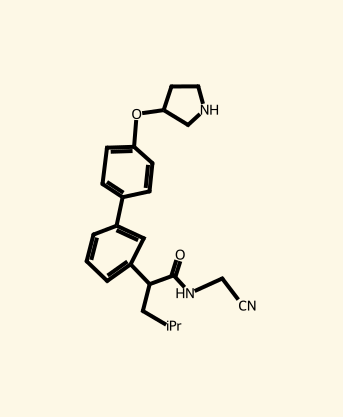 CC(C)CC(C(=O)NCC#N)c1cccc(-c2ccc(OC3CCNC3)cc2)c1